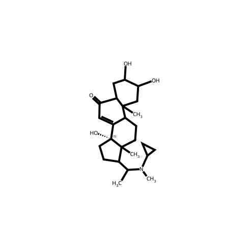 CC(C1CC[C@@]2(O)C3=CC(=O)C4CC(O)C(O)CC4(C)C3CCC12C)N(C)C1CC1